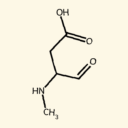 CNC(C=O)CC(=O)O